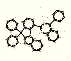 c1ccc(-c2nc(-c3cccc4c3-n3c(nc5ccccc53)C4(c3ccccc3)c3ccccc3)nc3ccccc23)cc1